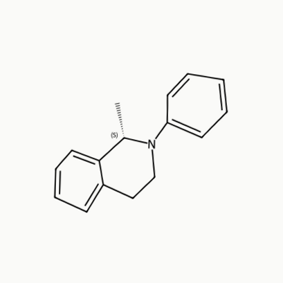 C[C@H]1c2ccccc2CCN1c1ccccc1